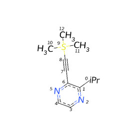 CC(C)c1nccnc1C#CS(C)(C)C